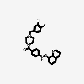 O=C(c1ccc(NSc2cccc3cccnc23)cc1)N1CCN(Cc2ccc(F)c(Cl)c2)CC1